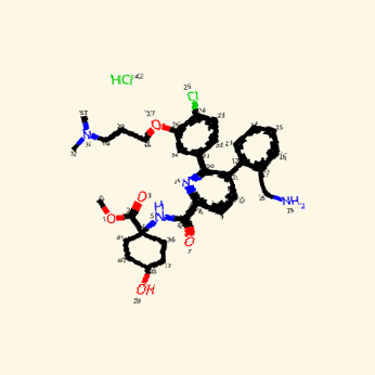 COC(=O)C1(NC(=O)c2ccc(-c3ccccc3CN)c(-c3ccc(Cl)c(OCCCN(C)C)c3)n2)CCC(O)CC1.Cl